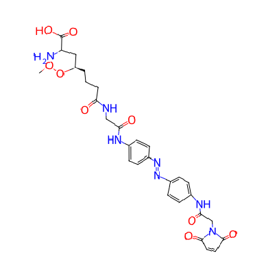 COO[C@H](CCCC(=O)NCC(=O)Nc1ccc(/N=N/c2ccc(NC(=O)CN3C(=O)C=CC3=O)cc2)cc1)CC(N)C(=O)O